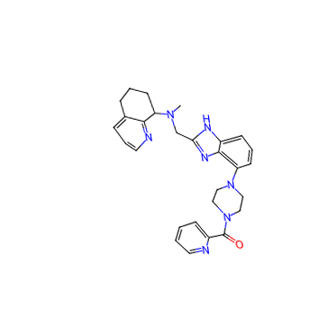 CN(Cc1nc2c(N3CCN(C(=O)c4ccccn4)CC3)cccc2[nH]1)C1CCCc2cccnc21